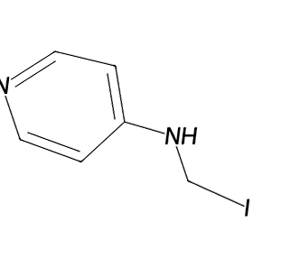 ICNc1ccncc1